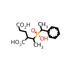 CC(c1ccccc1)P(=O)(O)C(C)C(CCC(=O)O)C(=O)O